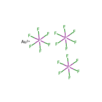 F[P-](F)(F)(F)(F)F.F[P-](F)(F)(F)(F)F.F[P-](F)(F)(F)(F)F.[Au+3]